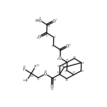 O=C(CCC(=O)C(=O)O)OC12CC3CC(C1)CC(C(=O)OCC(F)(F)F)(C3)C2